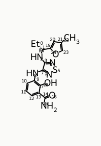 CC[C@@H](Nc1nsnc1Nc1cccc(C(N)=O)c1O)c1cc(C)co1